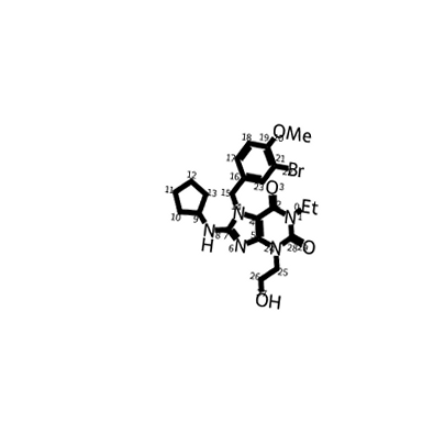 CCn1c(=O)c2c(nc(NC3CCCC3)n2Cc2ccc(OC)c(Br)c2)n(CCO)c1=O